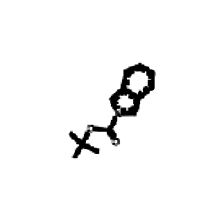 CC(C)(C)OC(=O)n1cc2ccccc2c1